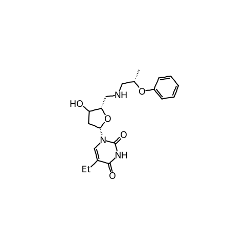 CCc1cn([C@@H]2CC(O)[C@H](CNC[C@H](C)Oc3ccccc3)O2)c(=O)[nH]c1=O